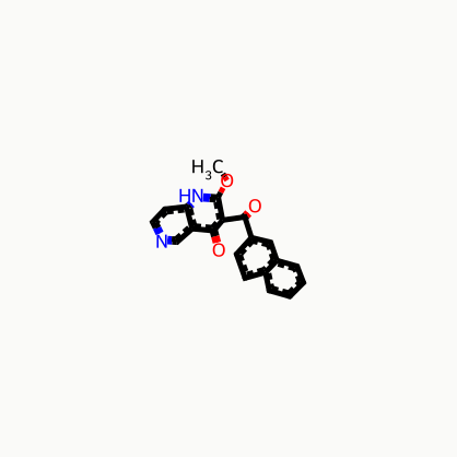 COc1[nH]c2ccncc2c(=O)c1C(=O)c1ccc2ccccc2c1